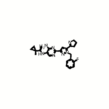 C=C(Nc1cnc(-c2cc(C3=NCC=C3)n(Cc3ccccc3F)n2)nc1N)C1(C)CC1